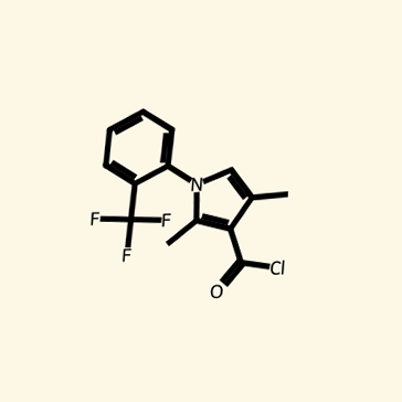 Cc1cn(-c2ccccc2C(F)(F)F)c(C)c1C(=O)Cl